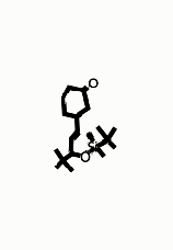 CC(C)(C)C(/C=C/C1CCCC(=O)C1)O[Si](C)(C)C(C)(C)C